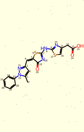 Cc1cc(C=C2SC(Nc3nc(CC(=O)O)cs3)=NC2=O)nn1-c1ccccc1